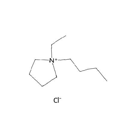 CCCC[N+]1(CC)CCCC1.[Cl-]